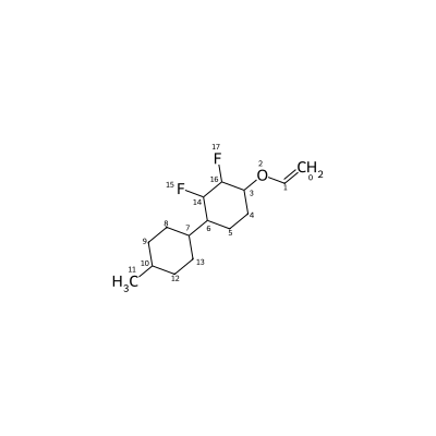 C=COC1CCC(C2CCC(C)CC2)C(F)C1F